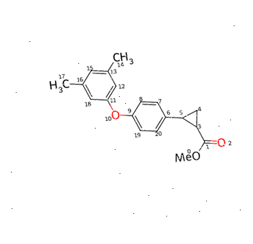 COC(=O)C1CC1c1ccc(Oc2cc(C)cc(C)c2)cc1